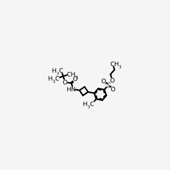 CCCOS(=O)(=O)c1ccc(C)c(C2CC(NC(=O)OC(C)(C)C)C2)c1